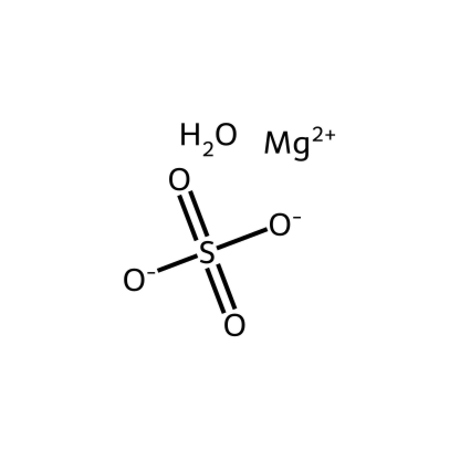 O.O=S(=O)([O-])[O-].[Mg+2]